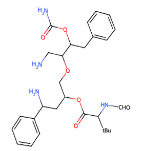 CC(C)(C)C(NC=O)C(=O)OC(COC(CN)C(Cc1ccccc1)OC(N)=O)CC(N)c1ccccc1